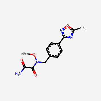 CCCCON(Cc1ccc(-c2noc(C(F)(F)F)n2)cc1)C(=O)C(N)=O